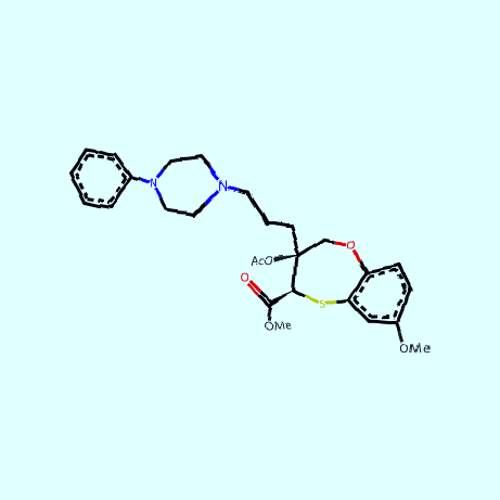 COC(=O)[C@@H]1Sc2cc(OC)ccc2OC[C@]1(CCCN1CCN(c2ccccc2)CC1)OC(C)=O